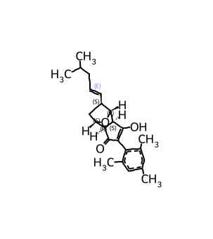 Cc1cc(C)c(C2=C(O)[C@@H]3[C@@H]4O[C@@H](C[C@H]4/C=C/CC(C)C)[C@@H]3C2=O)c(C)c1